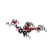 C=C(C)C(=O)OCCCOc1ccc(-c2cc(C)cc(-c3ccc(OCCCOC(=O)C(=C)C)cc3)c2OC(=O)C2(C)COC(C)(C)OC2)cc1